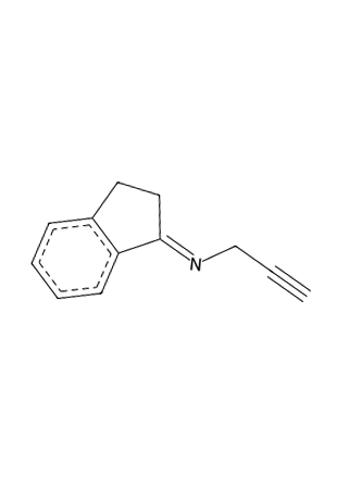 C#CCN=C1CCc2ccccc21